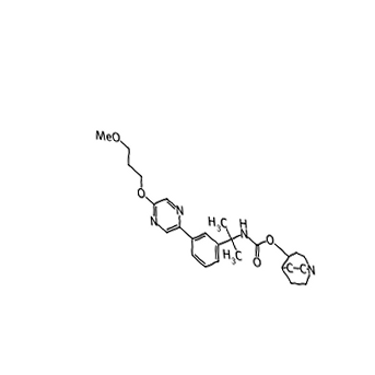 COCCCOc1cnc(-c2cccc(C(C)(C)NC(=O)OC3CCN4CCC3CC4)c2)cn1